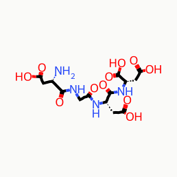 N[C@@H](CC(=O)O)C(=O)NCC(=O)N[C@@H](CC(=O)O)C(=O)N[C@@H](CC(=O)O)C(=O)O